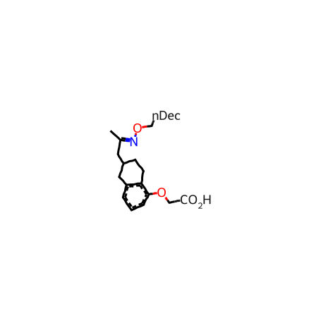 CCCCCCCCCCCON=C(C)CC1CCc2c(cccc2OCC(=O)O)C1